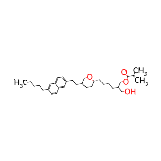 C=C(C)C(=O)OCC(CO)CCCCC1CCC(CCc2ccc3cc(CCCCC)ccc3c2)CO1